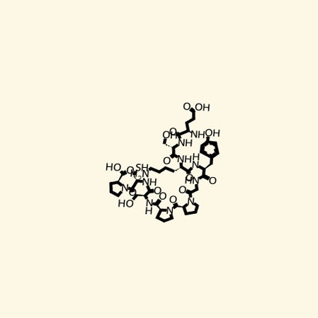 NCCCC[C@H](NC(=O)[C@H](CO)NC(=O)[C@@H](N)CCC(=O)O)C(=O)N[C@@H](Cc1ccc(O)cc1)C(=O)NCC(=O)N1CCC[C@H]1C(=O)N1CCC[C@H]1C(=O)N[C@@H](CO)C(=O)N[C@@H](CS)C(=O)N1CCC[C@H]1C(=O)O